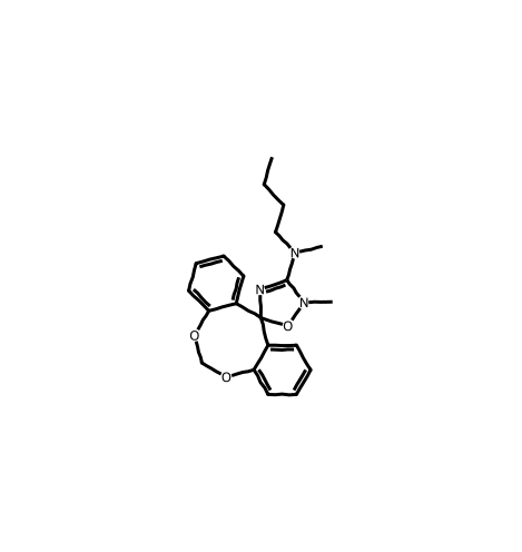 CCCCN(C)C1=NC2(ON1C)c1ccccc1OCOc1ccccc12